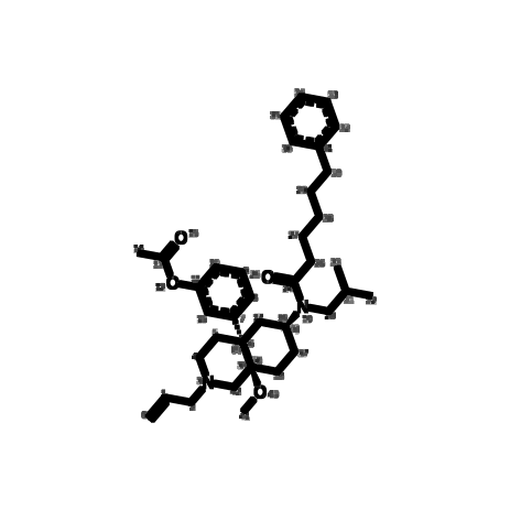 C=CCN1CC[C@@]2(c3cccc(OC(C)=O)c3)C[C@@H](N(CC(C)C)C(=O)CCCCCc3ccccc3)CC[C@]2(OC)C1